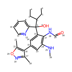 CCC(CC)C(O)(c1ccccn1)c1cc(-c2c(C)noc2C)cc(NC)c1NC=O